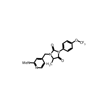 CNc1cc(CN2C(=O)N(c3ccc(OC(F)(F)F)cc3)C(=O)C2C)ccn1